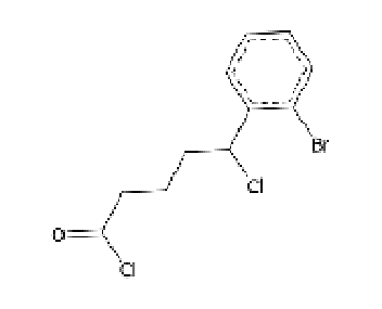 O=C(Cl)CCCC(Cl)c1ccccc1Br